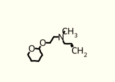 C=CCN(C)CCOC1CCCCO1